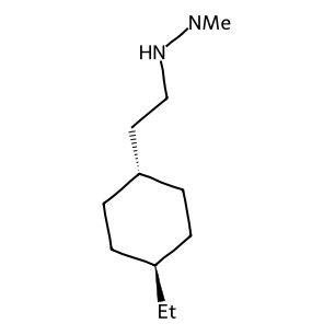 CC[C@H]1CC[C@H](CCNNC)CC1